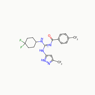 O=C(/N=C(/Nc1cc(C(F)(F)F)n[nH]1)NC1CCC(F)(F)CC1)c1ccc(C(F)(F)F)cc1